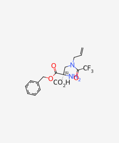 C=CCN(C[C@](N)(C(=O)O)C(=O)OCc1ccccc1)C(=O)C(F)(F)F